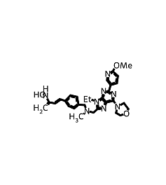 C=C(/C=C/c1ccc(CN(C)Cc2nc3c(N4CCOCC4)nc(-c4ccc(OC)nc4)nc3n2CC)cc1)NO